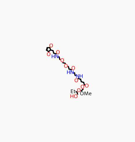 CCC(CO)OC(COC(=O)CCCC(=O)NCCNC(=O)CCOCCOCCNC(=O)CCC1C(=O)C=CC1=O)OC